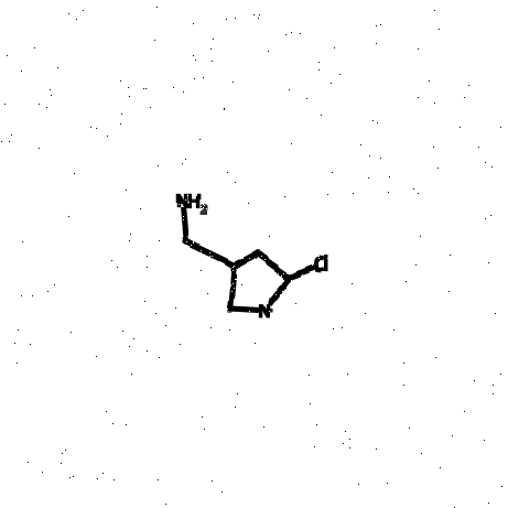 NCC1C[N]C(Cl)C1